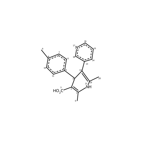 CC1=C(C(=O)O)C(c2ccc(C)cc2)C(c2cccnc2)=C(C)N1